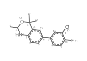 CC1Nc2ccc(-c3ccc(F)c(Cl)c3)cc2C(C)(C)O1